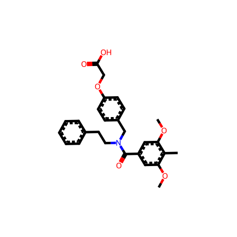 COc1cc(C(=O)N(CCc2ccccc2)Cc2ccc(OCC(=O)O)cc2)cc(OC)c1C